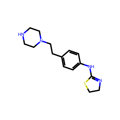 c1cc(NC2=NCCS2)ccc1CCN1CCNCC1